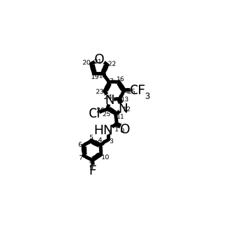 O=C(NCc1cccc(F)c1)c1nc2c(C(F)(F)F)cc(-c3ccoc3)cn2c1Cl